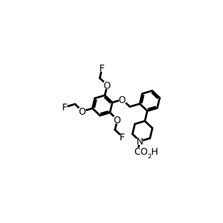 O=C(O)N1CCC(c2ccccc2COc2c(OCF)cc(OCF)cc2OCF)CC1